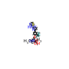 CC(C)CC(C)(COc1ccc(-c2ccnc(Nc3nccs3)n2)cc1C(F)(F)F)NC(=O)O